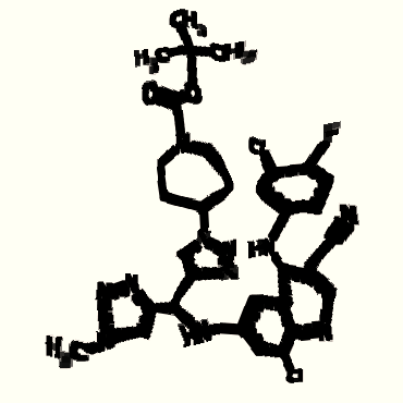 Cn1cc(C(Nc2cc(Cl)c3ncc(C#N)c(Nc4ccc(F)c(Cl)c4)c3c2)c2cn(C3CCN(C(=O)OC(C)(C)C)CC3)nn2)nn1